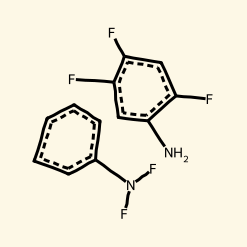 FN(F)c1ccccc1.Nc1cc(F)c(F)cc1F